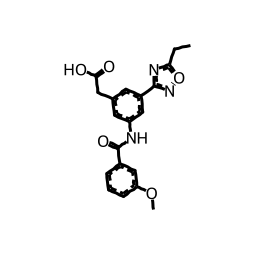 CCc1nc(-c2cc(CC(=O)O)cc(NC(=O)c3cccc(OC)c3)c2)no1